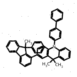 CC1(C)c2ccccc2N(c2ccc(-c3ccccc3)cc2)c2ccc(-c3cccc4c3C(C)(c3ccccc3)c3ccccc3-4)cc21